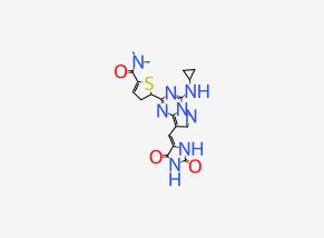 CN(C)C(=O)C1=CCC(c2nc(NC3CC3)n3ncc(/C=C4\NC(=O)NC4=O)c3n2)S1